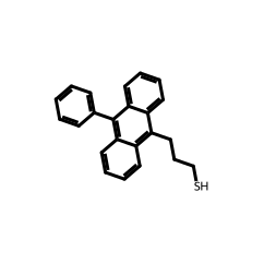 SCCCc1c2ccccc2c(-c2ccccc2)c2ccccc12